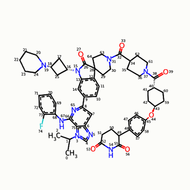 CC(C)n1cnc2cc(-c3ccc4c(c3)N([C@H]3C[C@@H](N5CCCCC5)C3)C(=O)C43CCN(C(=O)C4CCN(C(=O)[C@H]5CC[C@H](Oc6ccc(C7CCC(=O)NC7=O)cc6)CC5)CC4)CC3)nc(Nc3ccccc3F)c21